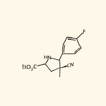 CCOC(=O)C1C[C@](C)(C#N)C(c2ccc(F)cc2)N1